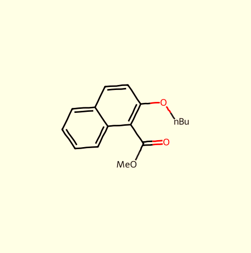 CCCCOc1ccc2ccccc2c1C(=O)OC